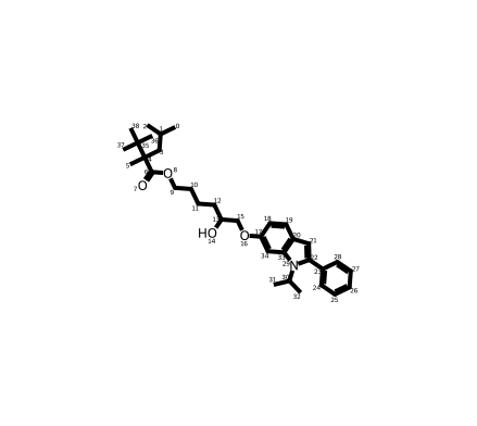 CC(C)CC(C)(C(=O)OCCCCC(O)COc1ccc2cc(-c3ccccc3)n(C(C)C)c2c1)C(C)(C)C